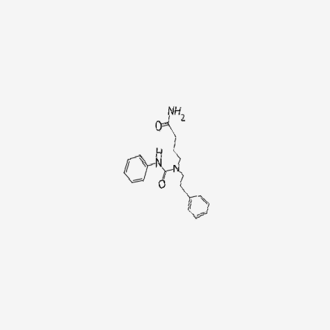 NC(=O)CCCN(CCc1ccccc1)C(=O)Nc1ccccc1